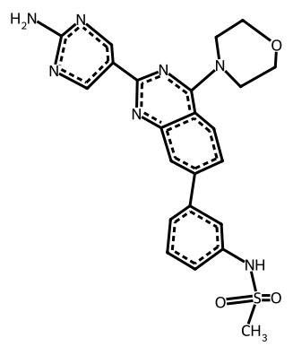 CS(=O)(=O)Nc1cccc(-c2ccc3c(N4CCOCC4)nc(-c4cnc(N)nc4)nc3c2)c1